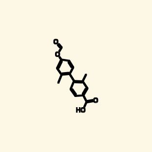 Cc1cc(OC=O)ccc1-c1ccc(C(=O)O)cc1C